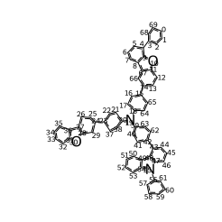 c1ccc(-c2cccc3c2oc2ccc(-c4ccc(N(c5ccc(-c6ccc7c(c6)oc6ccccc67)cc5)c5ccc(-c6cccc7c6c6ccccc6n7-c6ccccc6)cc5)cc4)cc23)cc1